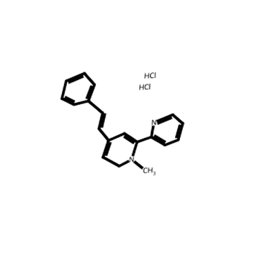 CN1CC=C(C=Cc2ccccc2)C=C1c1ccccn1.Cl.Cl